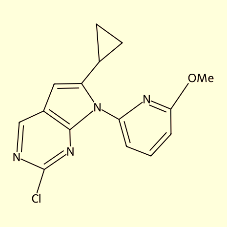 COc1cccc(-n2c(C3CC3)cc3cnc(Cl)nc32)n1